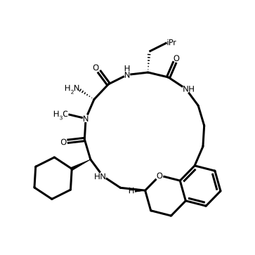 CC(C)C[C@H]1NC(=O)[C@@H](N)N(C)C(=O)[C@H](C2CCCCC2)NC[C@H]2CCc3cccc(c3O2)CCCNC1=O